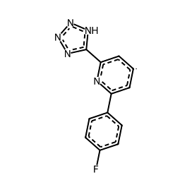 Fc1ccc(-c2c[c]cc(-c3nnn[nH]3)n2)cc1